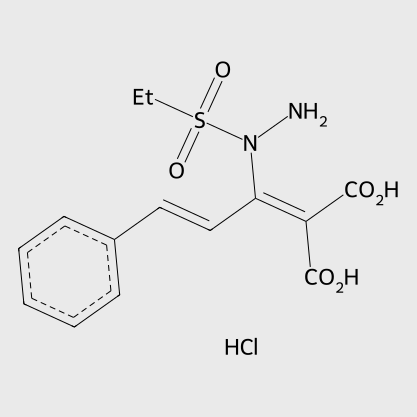 CCS(=O)(=O)N(N)C(C=Cc1ccccc1)=C(C(=O)O)C(=O)O.Cl